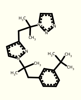 CC(C)(C)c1cccc(CC(C)(C)n2ccc(CC(C)(C)n3ccnn3)n2)c1